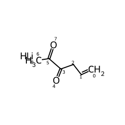 C=CCC(=O)C(C)=O.[LiH]